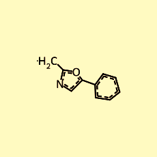 [CH2]c1ncc(-c2ccccc2)o1